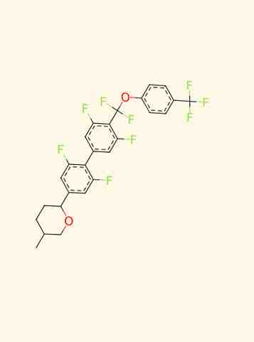 CC1CCC(c2cc(F)c(-c3cc(F)c(C(F)(F)Oc4ccc(C(F)(F)F)cc4)c(F)c3)c(F)c2)OC1